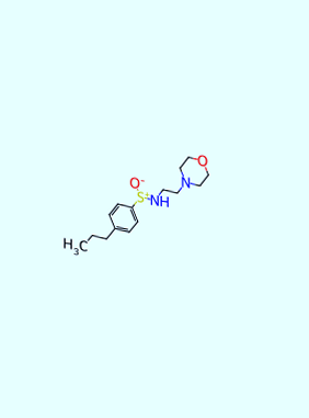 CCCc1ccc([S+]([O-])NCCN2CCOCC2)cc1